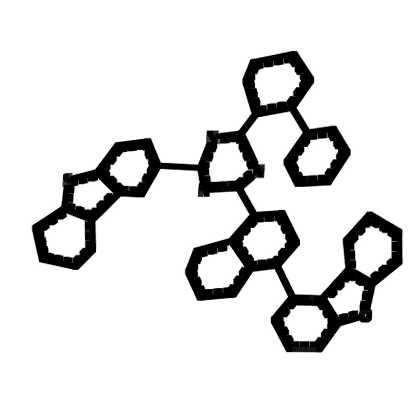 c1ccc(-c2ccccc2-c2nc(-c3ccc4sc5ccccc5c4c3)nc(-c3ccc(-c4cccc5oc6ccccc6c45)c4ccccc34)n2)cc1